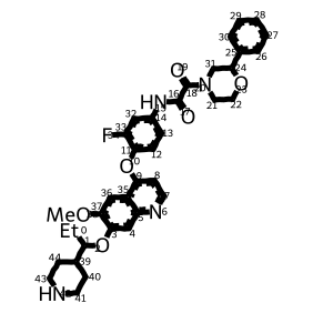 CCC(Oc1cc2nccc(Oc3ccc(NC(=O)C(=O)N4CCOC(c5ccccc5)C4)cc3F)c2cc1OC)C1CCNCC1